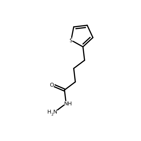 NNC(=O)CCCc1cccs1